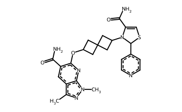 Cc1nn(C)c2nc(OC3CC4(C3)CC(N3C(C(N)=O)=CSC3c3ccncc3)C4)c(C(N)=O)cc12